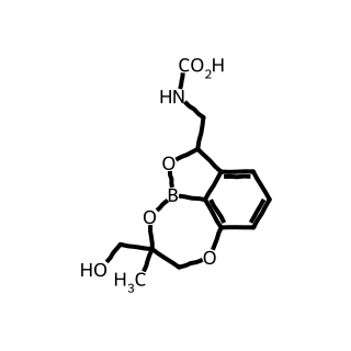 CC1(CO)COc2cccc3c2B(OC3CNC(=O)O)O1